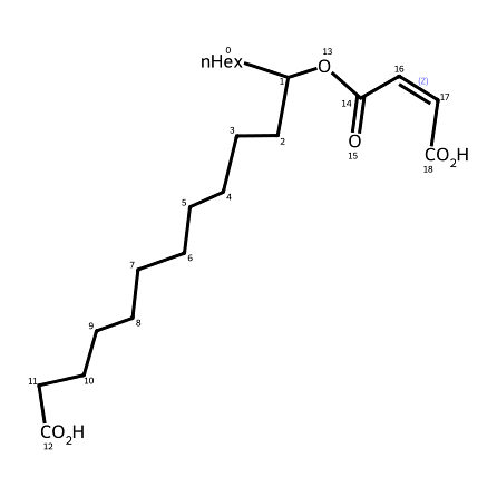 CCCCCCC(CCCCCCCCCCC(=O)O)OC(=O)/C=C\C(=O)O